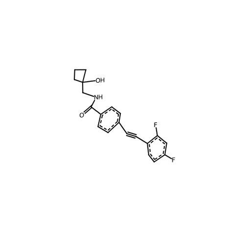 O=C(NCC1(O)CCC1)c1ccc(C#Cc2ccc(F)cc2F)cc1